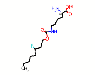 CCCCCC(F)CCOC(=O)NCCCC[C@H](N)C(=O)O